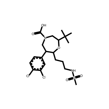 CC(C)(C)C1CN(C(=O)O)CC(c2ccc(Cl)c(Cl)c2)C(CCCNS(C)(=O)=O)O1